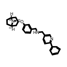 CN1[C@@H]2CC[C@H]1C[C@@H](Oc1cccc(CNCc3ccc(-c4ccccc4)nc3)c1)C2